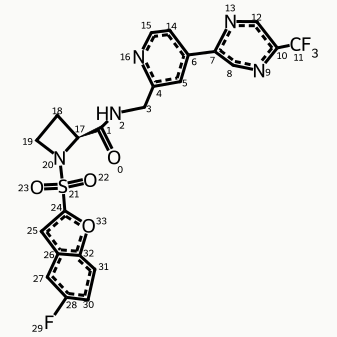 O=C(NCc1cc(-c2cnc(C(F)(F)F)cn2)ccn1)[C@@H]1CCN1S(=O)(=O)c1cc2cc(F)ccc2o1